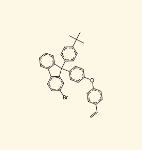 C=Cc1ccc(Oc2ccc(C3(c4ccc(C(C)(C)C)cc4)c4ccccc4-c4ccc(Br)cc43)cc2)cc1